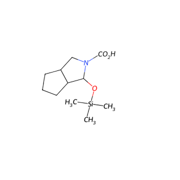 C[Si](C)(C)OC1C2CCCC2CN1C(=O)O